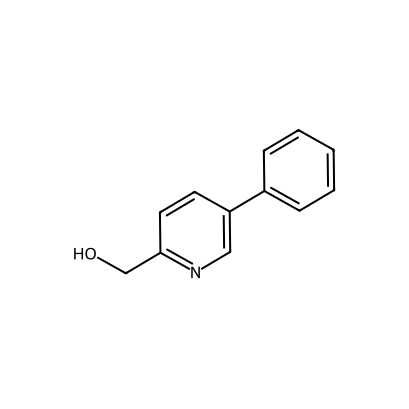 OCc1ccc(-c2ccccc2)cn1